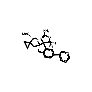 [2H]C1([2H])OC(N)=NC12c1cc(-c3cccnc3)ccc1C[C@]21CC[C@@H](OC)C2(CC2)C1